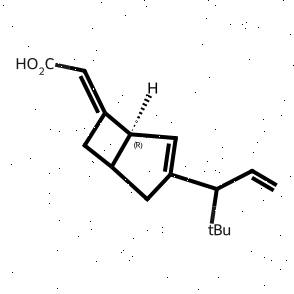 C=CC(C1=C[C@@H]2C(=CC(=O)O)CC2C1)C(C)(C)C